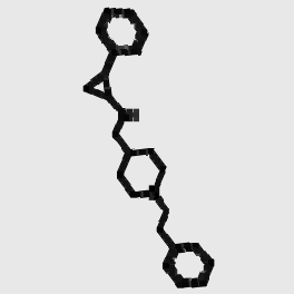 c1ccc(CCN2CCC(CNC3CC3c3ccccc3)CC2)cc1